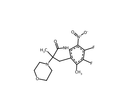 Cc1c(CC(C)(C(N)=O)N2CCOCC2)cc([N+](=O)[O-])c(F)c1F